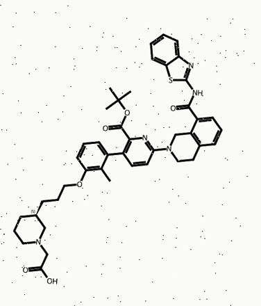 Cc1c(OCCC[C@@H]2CCCN(CC(=O)O)C2)cccc1-c1ccc(N2CCc3cccc(C(=O)Nc4nc5ccccc5s4)c3C2)nc1C(=O)OC(C)(C)C